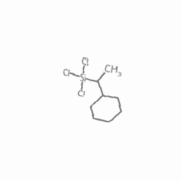 CC(C1CCCCC1)[Si](Cl)(Cl)Cl